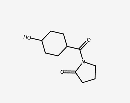 O=C1CCCN1C(=O)C1CCC(O)CC1